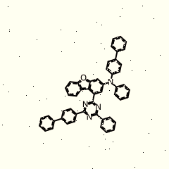 c1ccc(-c2ccc(-c3nc(-c4ccccc4)nc(-c4cc(N(c5ccccc5)c5ccc(-c6ccccc6)cc5)cc5oc6ccccc6c45)n3)cc2)cc1